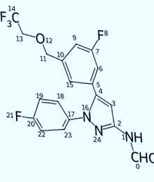 O=CNc1cc(-c2cc(F)cc(COCC(F)(F)F)c2)n(-c2ccc(F)cc2)n1